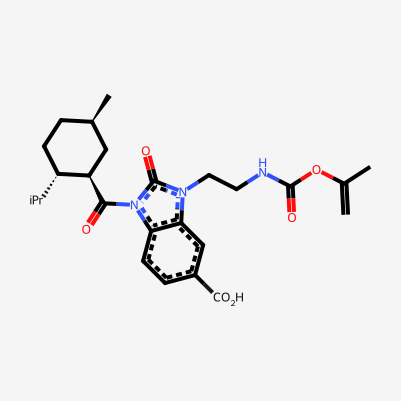 C=C(C)OC(=O)NCCn1c(=O)n(C(=O)[C@@H]2C[C@H](C)CC[C@H]2C(C)C)c2ccc(C(=O)O)cc21